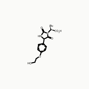 CC[C@H](C)[C@@H](C(=O)O)N1C(=O)NC(c2ccc(OCCO)cc2)C1=O